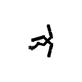 O=C=NC(CO[SiH3])(N=C=O)N=C=O